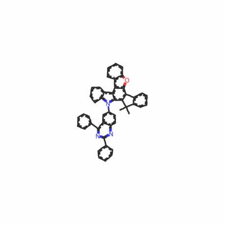 CC1(C)c2ccccc2-c2c1c1c(c3ccccc3n1-c1ccc3nc(-c4ccccc4)nc(-c4ccccc4)c3c1)c1c2oc2ccccc21